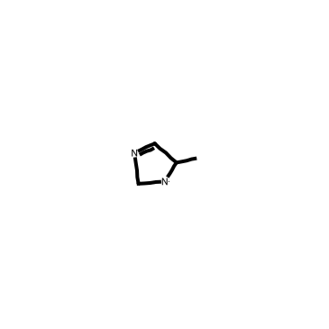 CC1C=NC[N]1